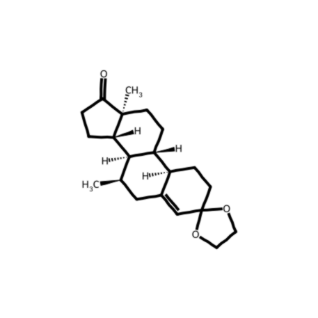 C[C@@H]1CC2=CC3(CC[C@@H]2[C@H]2CC[C@]4(C)C(=O)CC[C@H]4[C@@H]21)OCCO3